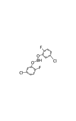 Fc1ccc(Cl)cc1OBOc1cc(Cl)ccc1F